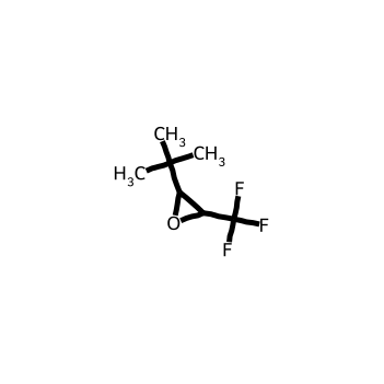 CC(C)(C)C1OC1C(F)(F)F